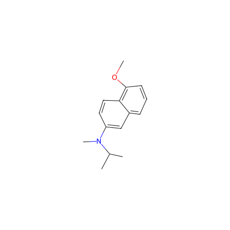 COc1cccc2cc(N(C)C(C)C)ccc12